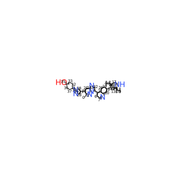 Cc1nn2c(-c3ccnc4cc(C5C[C@@H]6C[C@H]5CN6)ccc34)cnc2cc1-c1cnn([C@H]2CC[C@H](O)CC2)c1